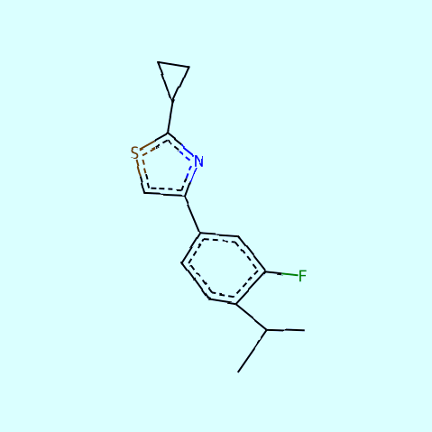 CC(C)c1ccc(-c2csc(C3CC3)n2)cc1F